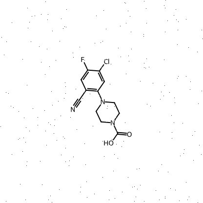 N#Cc1cc(F)c(Cl)cc1N1CCN(C(=O)O)CC1